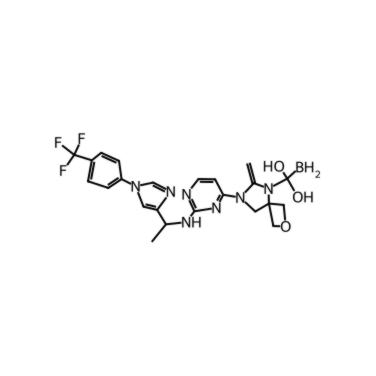 BC(O)(O)N1C(=C)N(c2ccnc(NC(C)c3cn(-c4ccc(C(F)(F)F)cc4)cn3)n2)CC12COC2